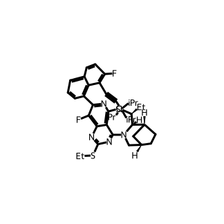 CCSc1nc2c3c(nc(-c4cccc5ccc(F)c(C#C[Si](C(C)C)(C(C)C)C(C)C)c45)c(F)c3n1)O[C@@H](CC)[C@@H]1[C@@H]3CC[C@@H](C3)CN21